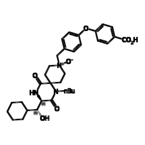 CCCCN1C(=O)[C@@H]([C@H](O)C2CCCCC2)NC(=O)C12CC[N+]([O-])(Cc1ccc(Oc3ccc(C(=O)O)cc3)cc1)CC2